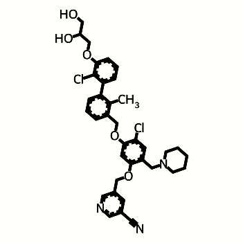 Cc1c(COc2cc(OCc3cncc(C#N)c3)c(CN3CCCCC3)cc2Cl)cccc1-c1cccc(OCC(O)CO)c1Cl